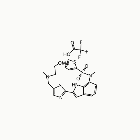 COCCN(C)Cc1cnc(-c2cc3cccc(N(C)S(=O)(=O)c4cccs4)c3[nH]2)s1.O=C(O)C(F)(F)F